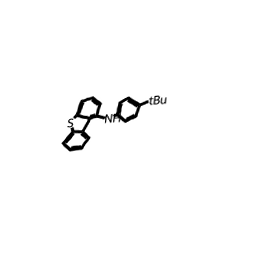 CC(C)(C)c1ccc(Nc2cccc3sc4ccccc4c23)cc1